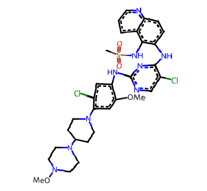 COc1cc(N2CCC(N3CCN(OC)CC3)CC2)c(Cl)cc1Nc1ncc(Cl)c(Nc2ccc3ncccc3c2NS(C)(=O)=O)n1